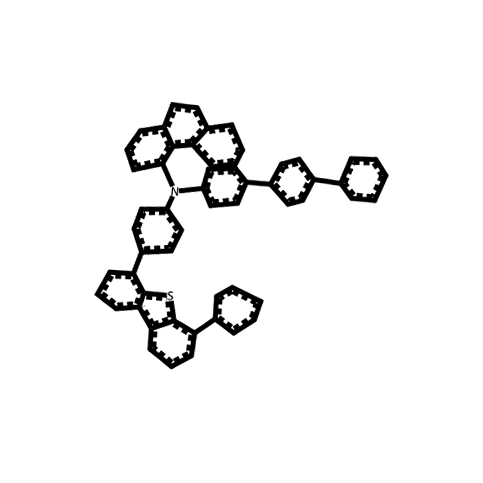 c1ccc(-c2ccc(-c3ccc(N(c4ccc(-c5cccc6c5sc5c(-c7ccccc7)cccc56)cc4)c4cccc5ccc6ccccc6c45)cc3)cc2)cc1